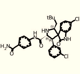 CC(C)(C)C[C@@H]1N[C@@H](C(=O)Nc2ccc(C(N)=O)cc2)[C@H](c2cccc(Cl)c2)C12C(=O)Nc1cc(Cl)ccc12